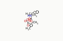 Cc1ccc(C(C)OC[C@@H](O)CNC(C)(C)CC2Cc3ccccc3C2)c2c1OC1C(C(=O)O)C21